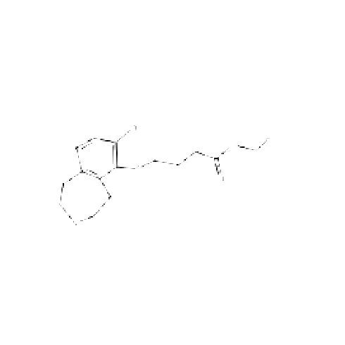 CCOC(=O)CCCSc1c(Br)ccc2c1CCNCC2.Cl